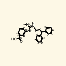 C/N=C(/NCCC(c1ccccc1)c1ccccc1)Nc1cccc(C(=O)O)c1